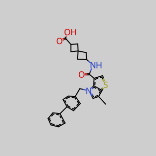 Cc1cn(Cc2ccc(-c3ccccc3)cc2)c2c(C(=O)NC3CC4(C3)CC(C(=O)O)C4)csc12